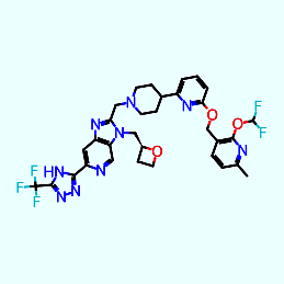 Cc1ccc(COc2cccc(C3CCN(Cc4nc5cc(-c6nnc(C(F)(F)F)[nH]6)ncc5n4C[C@@H]4CCO4)CC3)n2)c(OC(F)F)n1